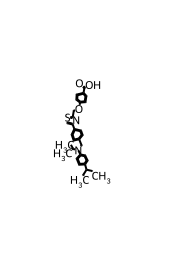 CCC(CC)c1ccc(N(Cc2ccc(-c3csc(COc4ccc(C(=O)O)cc4)n3)cc2)C(C)C)cc1